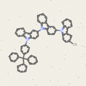 N#Cc1ccc2c(c1)c1ccccc1n2-c1ccc2c(c1)c1ccccc1n2-c1ccc2c(c1)c1ccccc1n2-c1ccc(C(c2ccccc2)(c2ccccc2)c2ccccc2)cc1